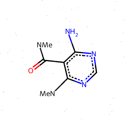 CNC(=O)c1c(N)ncnc1NC